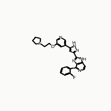 Fc1ccccc1-c1nccc2[nH]c(-c3cc(-c4cncc(OCCN5CCCC5)c4)[nH]n3)nc12